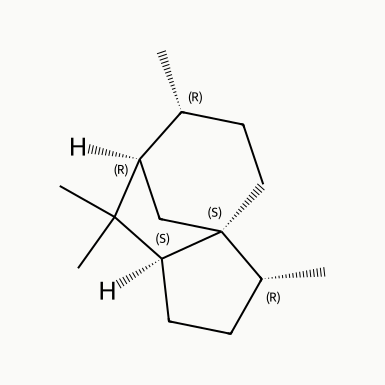 C[C@@H]1CC[C@@]23C[C@H]1C(C)(C)[C@@H]2CC[C@H]3C